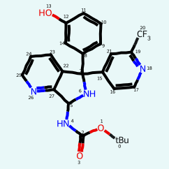 CC(C)(C)OC(=O)NC1NC(c2cccc(O)c2)(c2ccnc(C(F)(F)F)c2)c2cccnc21